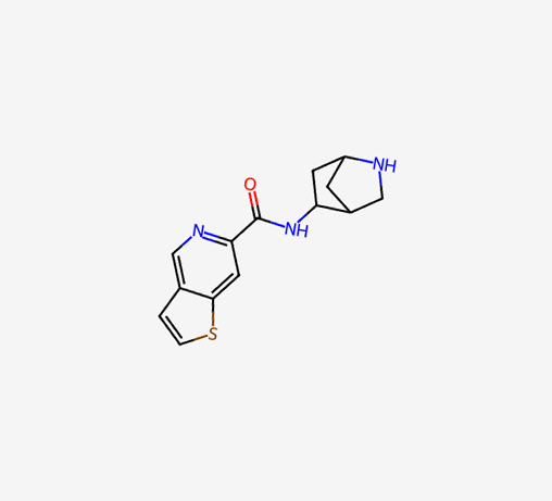 O=C(NC1CC2CC1CN2)c1cc2sccc2cn1